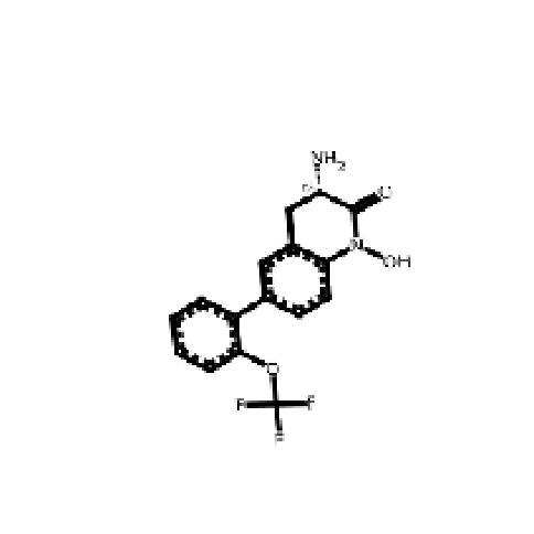 N[C@H]1Cc2cc(-c3ccccc3OC(F)(F)F)ccc2N(O)C1=O